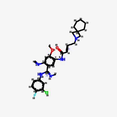 C=Nc1cc(OC)c(NC(=O)/C=C/CN2CC3(CCCCC3)C2)cc1/C(=N\C)Nc1ccc(F)c(Cl)c1